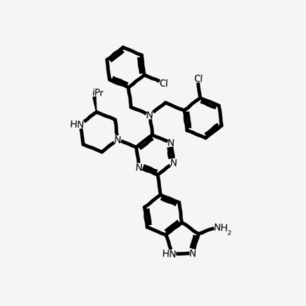 CC(C)[C@H]1CN(c2nc(-c3ccc4[nH]nc(N)c4c3)nnc2N(Cc2ccccc2Cl)Cc2ccccc2Cl)CCN1